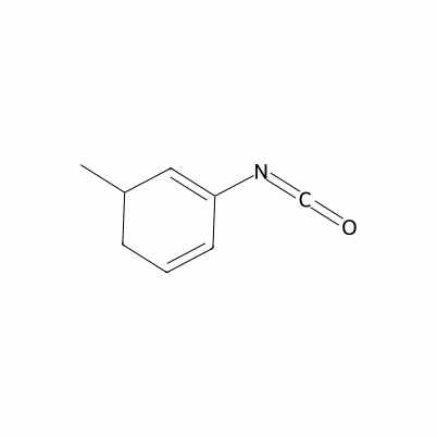 CC1C=C(N=C=O)C=CC1